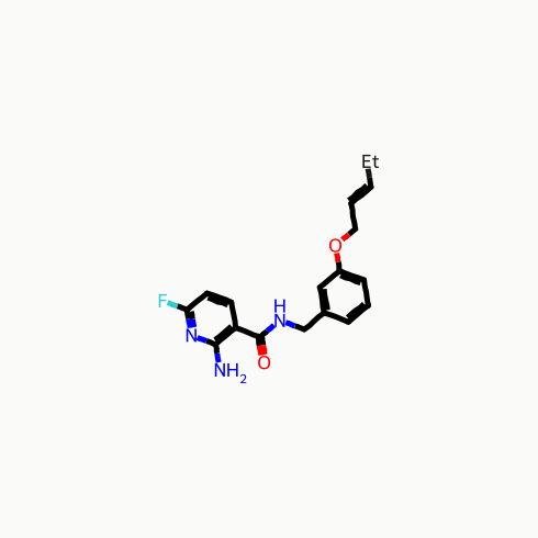 CC/C=C/COc1cccc(CNC(=O)c2ccc(F)nc2N)c1